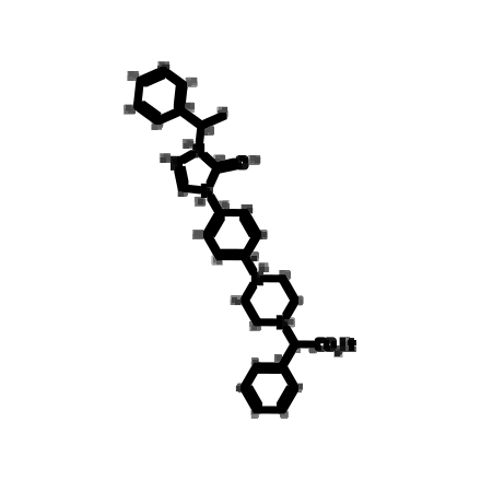 CCOC(=O)C(c1ccccc1)N1CCN(c2ccc(-n3cnn(C(C)c4ccccc4)c3=O)cc2)CC1